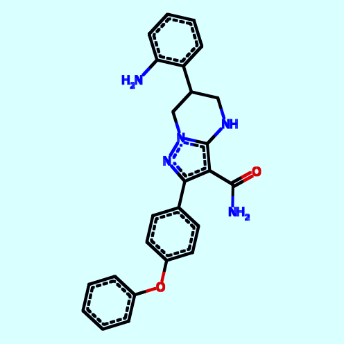 NC(=O)c1c(-c2ccc(Oc3ccccc3)cc2)nn2c1NCC(c1ccccc1N)C2